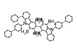 Bc1c(-c2c(B)c(B)c3c(c2B)c2cccc(-c4ccccc4)c2n3-c2ccc(-c3ccccc3)cc2)c(B)c2c3ccccc3n(-c3ccc(-c4ccccc4)cc3)c2c1B